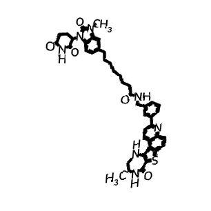 C[C@@H]1CNc2c(sc3ccc4nc(-c5cccc(CNC(=O)CCCCCCCc6ccc7c(c6)n(C)c(=O)n7C6CCC(=O)NC6=O)c5)ccc4c23)C(=O)N1